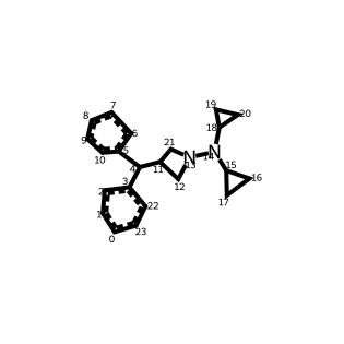 c1ccc(C(c2ccccc2)C2CN(N(C3CC3)C3CC3)C2)cc1